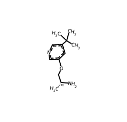 C[C@@H](N)COc1cncc(C(C)(C)C)c1